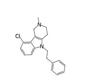 CN1CCc2c(c3c(Cl)cccc3n2CCc2ccccc2)C1